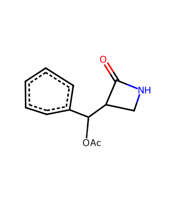 CC(=O)OC(c1ccccc1)C1CNC1=O